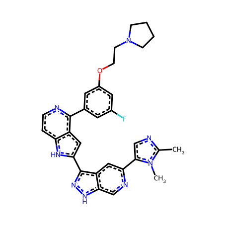 Cc1ncc(-c2cc3c(-c4cc5c(-c6cc(F)cc(OCCN7CCCC7)c6)nccc5[nH]4)n[nH]c3cn2)n1C